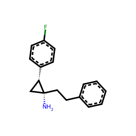 N[C@]1(CCc2ccccc2)C[C@@H]1c1ccc(F)cc1